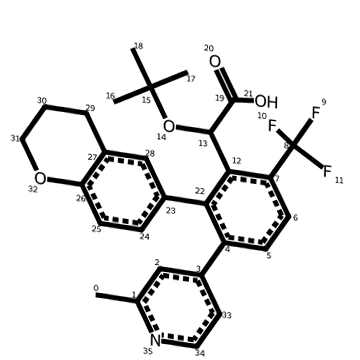 Cc1cc(-c2ccc(C(F)(F)F)c(C(OC(C)(C)C)C(=O)O)c2-c2ccc3c(c2)CCCO3)ccn1